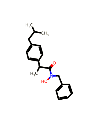 CC(C)Cc1ccc(C(C)C(=O)N(O)Cc2ccccc2)cc1